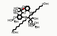 CC(C)(C)c1cccc(C(C)(C)C)c1OC(c1c(C(C)(C)C)cccc1C(C)(C)C)C(CO)(CO)CO.CCCCCCCCCCCCCCCCCCOC(CCCCCCCCCCCCCCCCCC)C(CO)(CO)CO.OP(O)O.OP(O)O